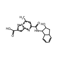 Cc1cc(C(=O)NC2C(O)CC3C=CC=CC32)nc2cc(C(=O)O)nn12